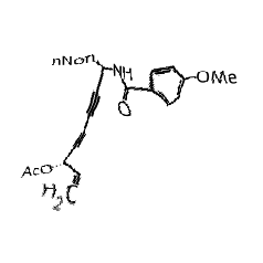 C=C[C@@H](C#CC#C[C@@H](CCCCCCCCC)NC(=O)c1ccc(OC)cc1)OC(C)=O